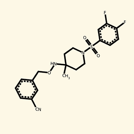 CC1(NOCc2cccc(C#N)c2)CCN(S(=O)(=O)c2ccc(F)c(F)c2)CC1